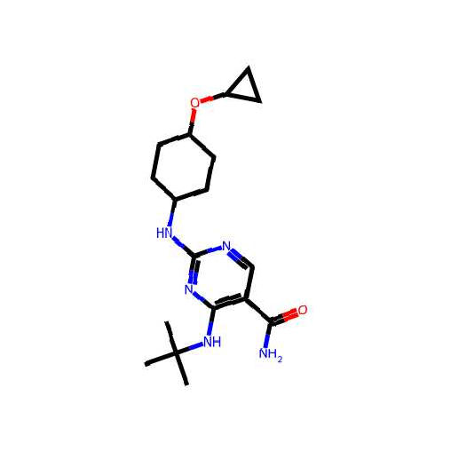 CC(C)(C)Nc1nc(NC2CCC(OC3CC3)CC2)ncc1C(N)=O